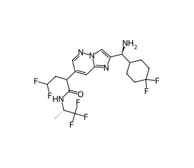 C[C@H](NC(=O)C(CC(F)F)c1cnn2cc([C@@H](N)C3CCC(F)(F)CC3)nc2c1)C(F)(F)F